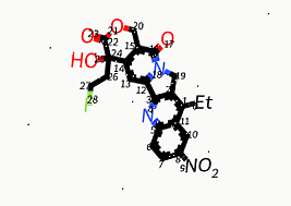 CCc1c2c(nc3ccc([N+](=O)[O-])cc13)-c1cc3c(c(=O)n1C2)COC(=O)C3(O)CCF